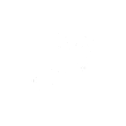 COc1c(C(O)C#Cc2ccc(C(=O)O)cc2)cc(-c2ccccc2)cc1C(C)(C)C